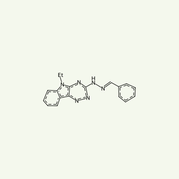 CCn1c2ccccc2c2nnc(NN=Cc3ccccc3)nc21